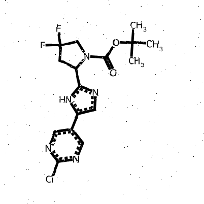 CC(C)(C)OC(=O)N1CC(F)(F)CC1c1ncc(-c2cnc(Cl)nc2)[nH]1